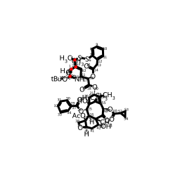 CC(=O)CCC(C)SSc1ccccc1CC(=O)O[C@@H](C(=O)O[C@H]1C[C@@]2(O)[C@@H](OC(=O)c3ccccc3)[C@@H]3[C@]4(OC(C)=O)CO[C@@H]4C[C@H](O)[C@@]3(C)C(=O)[C@H](OC(=O)C3CC3)C(=C1C)C2(C)C)[C@H](C=C(C)C)NC(=O)OC(C)(C)C